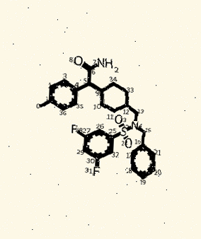 Cc1ccc(C(C(N)=O)C2CCC(CN(Cc3ccccc3)S(=O)(=O)c3cc(F)cc(F)c3)CC2)cc1